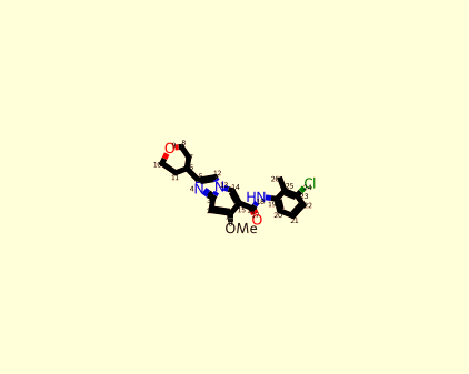 COc1cc2nc(C3CCOCC3)cn2cc1C(=O)Nc1cccc(Cl)c1C